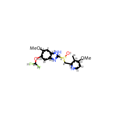 COc1cc2[nH]c([S+]([O-])Cc3nccc(OC)c3C)nc2cc1OC(F)F